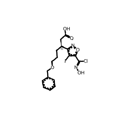 O=C(O)C[C@H](CCCOCc1ccccc1)c1noc(C(Cl)=NO)c1I